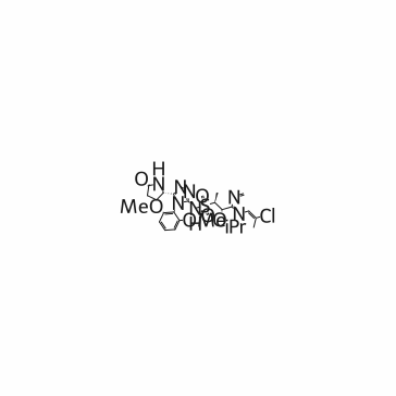 C=N/C(=N\C=C(/C)Cl)[C@H](OC(C)C)[C@H](C)S(=O)(=O)Nc1nnc([C@@H]2CCC(=O)N2)n1-c1c(OC)cccc1OC